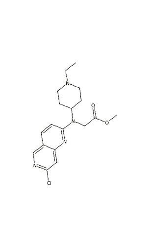 CCN1CCC(N(CC(=O)OC)c2ccc3cnc(Cl)cc3n2)CC1